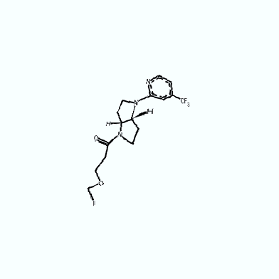 O=C(CCOCI)N1CC[C@@H]2[C@H]1CCN2c1cc(C(F)(F)F)ccn1